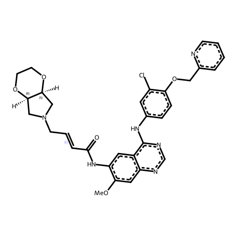 COc1cc2ncnc(Nc3ccc(OCc4ccccn4)c(Cl)c3)c2cc1NC(=O)/C=C/CN1C[C@@H]2OCCO[C@@H]2C1